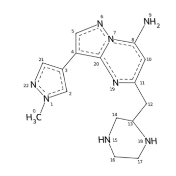 Cn1cc(-c2cnn3c(N)cc(CC4CNCCN4)nc23)cn1